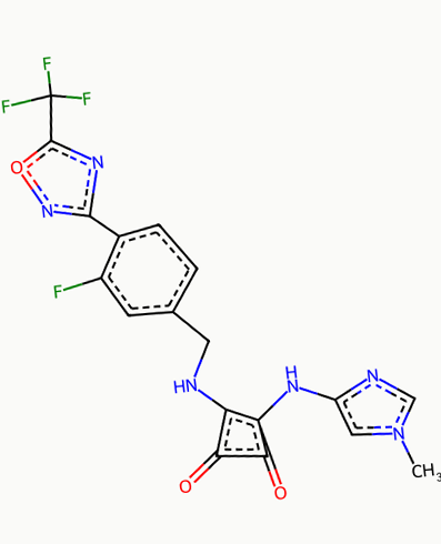 Cn1cnc(Nc2c(NCc3ccc(-c4noc(C(F)(F)F)n4)c(F)c3)c(=O)c2=O)c1